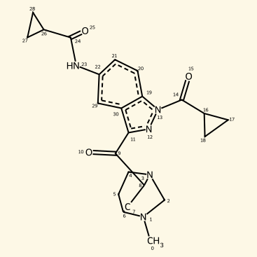 CN1CN2CCC1CC2C(=O)c1nn(C(=O)C2CC2)c2ccc(NC(=O)C3CC3)cc12